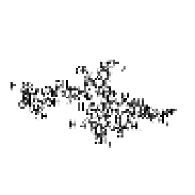 COC(=O)[C@H]1O[C@@H](O/N=C(\C)c2ccc3[nH]c(C(=O)N4C[C@@H](CCl)c5c4cc(OS(=O)(=O)Oc4cc(C(=O)N(C)CC(C)(C)COCC(C)(C)CN=[N+]=[N-])ccc4O[C@@H]4O[C@H](COC(C)=O)[C@@H](OC(C)=O)[C@H](OC(C)=O)[C@H]4OC(C)=O)c4ccc(OC)cc54)cc3c2)[C@H](O)[C@@H](OC(C)=O)[C@@H]1OC(C)=O